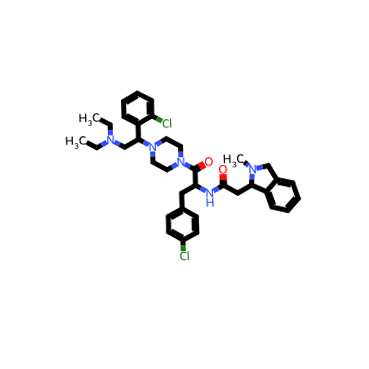 CCN(CC)CC(c1ccccc1Cl)N1CCN(C(=O)C(Cc2ccc(Cl)cc2)NC(=O)CC2c3ccccc3CN2C)CC1